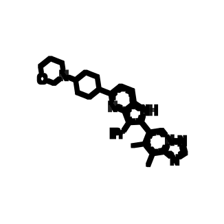 Cc1c(-c2[nH]c3ccc(C4CCC(N5CCCOC5)CC4)nc3c2C(C)C)cn2ncnc2c1C